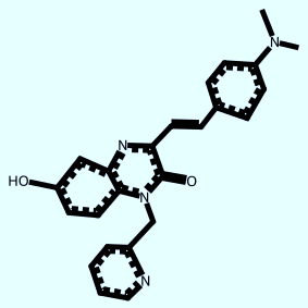 CN(C)c1ccc(/C=C/c2nc3cc(O)ccc3n(Cc3ccccn3)c2=O)cc1